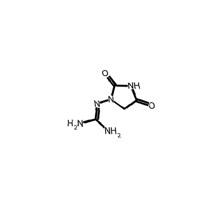 NC(N)=NN1CC(=O)NC1=O